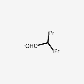 CC(C)C([C]=O)C(C)C